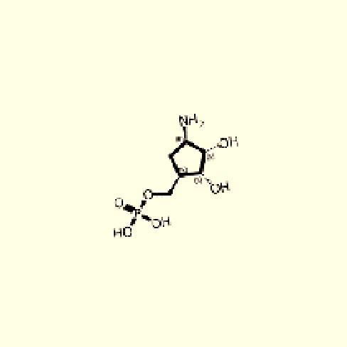 N[C@@H]1C[C@H](COP(=O)(O)O)[C@@H](O)[C@H]1O